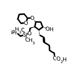 CC(C)C[Si](C)(C)OC[C@@H]1[C@@H](CC=CCCCC(=O)O)[C@@H](O)C[C@H]1OC1CCCCO1